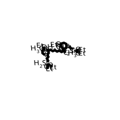 CCOC(OCC)[SiH2]CCCN1CCC[Si](C)(OCC)OC(CCCCCCC(C)C2CN(CCC[SiH2]C(OCC)OCC)CCC[Si](C)(OCC)O2)C1